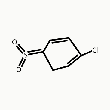 O=S(=O)=C1C=CC(Cl)=CC1